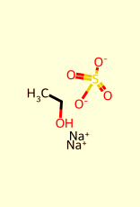 CCO.O=S(=O)([O-])[O-].[Na+].[Na+]